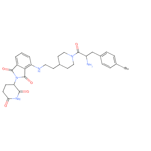 CC(C)(C)c1ccc(CC(N)C(=O)N2CCC(CCNc3cccc4c3C(=O)N(C3CCC(=O)NC3=O)C4=O)CC2)cc1